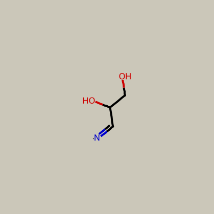 [N]=CC(O)CO